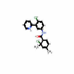 CC1=CC(C)(Cl)C(C(=O)Nc2ccc(Cl)c(-c3ccccn3)c2)C=C1